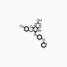 O=C(O)On1c(=O)[nH]/c(=N\c2ccc(Oc3ccccn3)cc2)n(Cc2ccc(Cl)cc2)c1=O